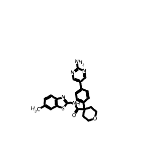 Cc1ccc2nc(NC(=O)C3(c4ccc(-c5cnc(N)nc5)cc4)CCOCC3)sc2c1